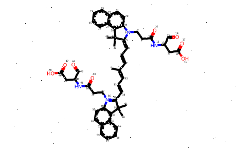 CC(/C=C/C=C1/N(CCC(=O)NC(C=O)CC(=O)O)c2ccc3ccccc3c2C1(C)C)=C\C=C\C1=[N+](CCC(=O)NC(C=O)CC(=O)O)c2ccc3ccccc3c2C1(C)C